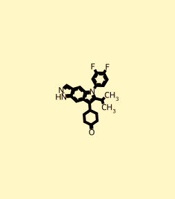 CC(C)c1c(C2CCC(=O)CC2)c2cc3[nH]ncc3cc2n1-c1ccc(F)c(F)c1